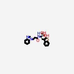 O=C(CCn1cnc2ccccc21)N[C@@H](Cc1csc2ccccc12)B(O)O